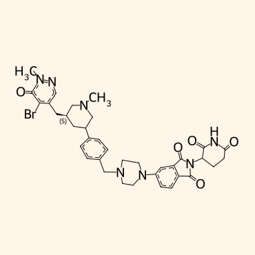 CN1CC(c2ccc(CN3CCN(c4ccc5c(c4)C(=O)N(C4CCC(=O)NC4=O)C5=O)CC3)cc2)C[C@@H](Cc2cnn(C)c(=O)c2Br)C1